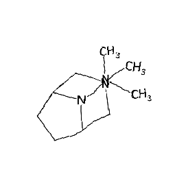 CN1CC2CCC(C1)N2N(C)C